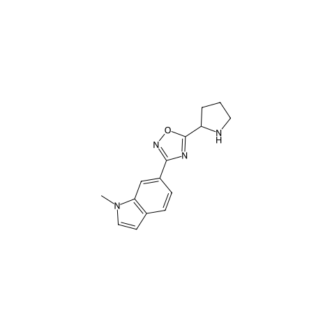 Cn1ccc2ccc(-c3noc(C4CCCN4)n3)cc21